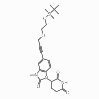 Cn1c(=O)n(C2CCC(=O)NC2=O)c2ccc(C#CCOCCO[Si](C)(C)C(C)(C)C)cc21